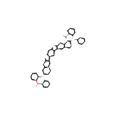 CC(C)c1ccccc1N(c1ccccc1)c1ccc2cc3c(cc2c1)oc1cc2oc4cc5cc(N(c6ccccc6)c6ccccc6C(C)C)ccc5cc4c2cc13